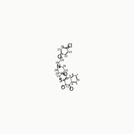 O=C1C(=O)c2ccccc2C2=C1SCC1(CCN(CCOc3ccc(Cl)cc3)CC1)O2